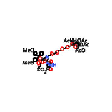 COc1ccc(C(OC[C@]2(COC(=O)CCC(=O)O)CN(CCOCCOCCOCCOCCO[C@@H]3O[C@H](COC(C)=O)[C@H](OC(C)=O)[C@H](OC(C)=O)[C@H]3NC(C)=O)C[C@H](n3cc(C)c(=O)[nH]c3=O)O2)(c2ccccc2)c2ccc(OC)cc2)cc1